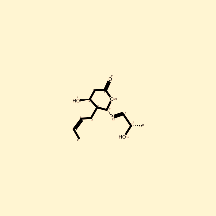 C/C=C\CC1[C@@H](O)CC(=O)O[C@@H]1/C=C/[C@H](C)O